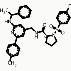 Cc1ccc(-c2cc(CNC(=O)[C@@H]3CCCN3S(=O)(=O)c3ccc(F)cc3)cc(NC(C)c3ccccc3)n2)cc1